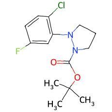 CC(C)(C)OC(=O)N1CCCN1c1cc(F)ccc1Cl